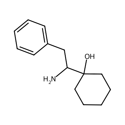 NC(Cc1ccccc1)C1(O)CCCCC1